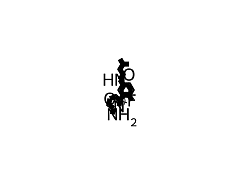 CC(C)CC(=O)Nc1ccc(F)c([C@]2(C)COCC(N)=N2)c1